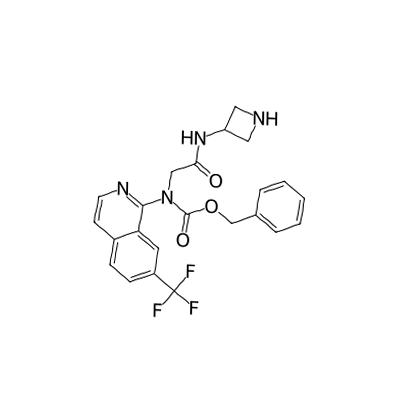 O=C(CN(C(=O)OCc1ccccc1)c1nccc2ccc(C(F)(F)F)cc12)NC1CNC1